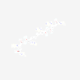 NC(=O)C[C@H](N)C(=O)OC(=O)[C@@H](N)CSSC[C@H](N)C(=O)OC(=O)[C@@H](N)CC(N)=O